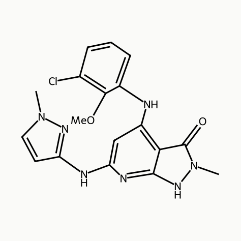 COc1c(Cl)cccc1Nc1cc(Nc2ccn(C)n2)nc2[nH]n(C)c(=O)c12